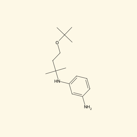 CC(C)(CCOC(C)(C)C)Nc1cccc(N)c1